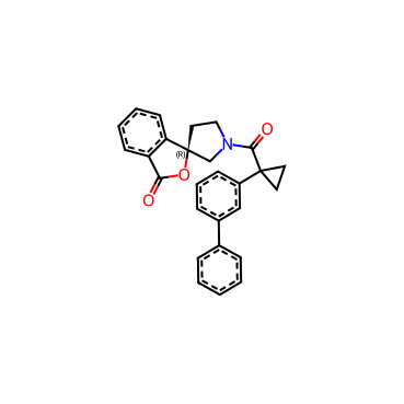 O=C1O[C@]2(CCN(C(=O)C3(c4cccc(-c5ccccc5)c4)CC3)C2)c2ccccc21